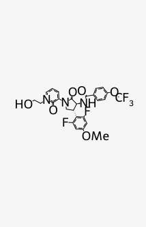 COc1cc(F)c([C@@H]2CN(c3cccn(CCO)c3=O)C(=O)[C@H]2NC(=O)c2ccc(OC(F)(F)F)cc2)c(F)c1